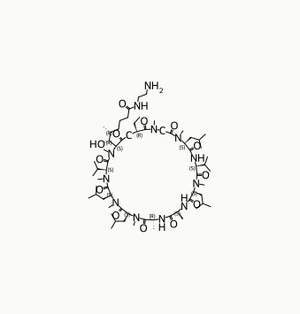 CC[C@@H]1CC(=O)[C@H]([C@H](O)[C@H](C)CCCC(=O)NCCN)N(C)C(=O)[C@H](C(C)C)N(C)C(=O)[C@H](CC(C)C)N(C)C(=O)[C@H](CC(C)C)N(C)C(=O)[C@@H](C)NC(=O)[C@H](C)NC(=O)[C@H](CC(C)C)N(C)C(=O)[C@H](C(C)C)NC(=O)[C@H](CC(C)C)N(C)C(=O)CN(C)C1=O